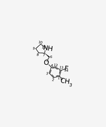 Cc1ccc(OC[C@H]2CCCN2)cc1F